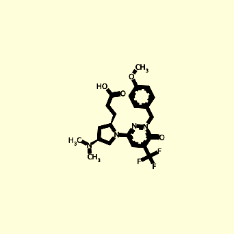 COc1ccc(Cn2nc(N3C[C@@H](N(C)C)C[C@H]3CCC(=O)O)cc(C(F)(F)F)c2=O)cc1